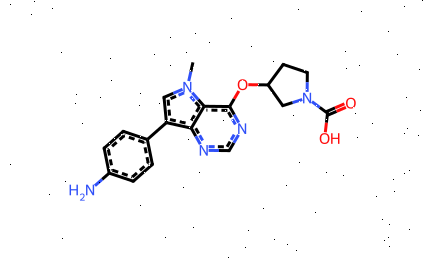 Cn1cc(-c2ccc(N)cc2)c2ncnc(OC3CCN(C(=O)O)C3)c21